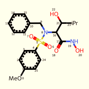 COc1ccc(S(=O)(=O)N(Cc2ccccc2)C(C(=O)NO)C(O)C(C)C)cc1